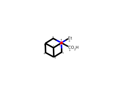 CCN1CC2CC(C1)C2CC(=O)O